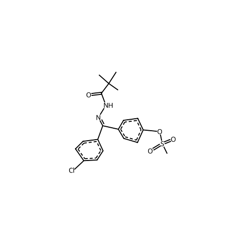 CC(C)(C)C(=O)NN=C(c1ccc(Cl)cc1)c1ccc(OS(C)(=O)=O)cc1